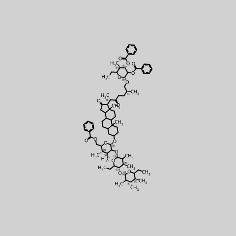 CCC1O[C@@H](O[C@@H]2C(CC)O[C@@H](OC3[C@H](OC4CCC5(C)C(CCC6C5CCC5(C)C6CC(=O)C5[C@H](C)C(=O)CC[C@H](C)CO[C@@H]5OC(CC)[C@@H](C)[C@H](OC(=O)c6ccccc6)C5OC(=O)c5ccccc5)C4)OC(COC(=O)c4ccccc4)[C@@H](C)[C@@H]3C)C(C)[C@H]2C)C(C)[C@@H](C)[C@@H]1C